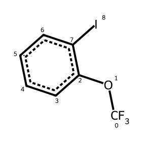 FC(F)(F)Oc1cc[c]cc1I